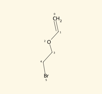 C=COCCBr